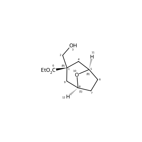 CCOC(=O)[C@@]1(CO)C[C@H]2CC[C@@H](C1)O2